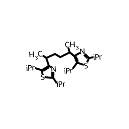 CC(C)c1nc(C(C)CCC(C)c2nc(C(C)C)sc2C(C)C)c(C(C)C)s1